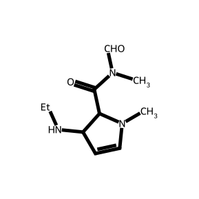 CCNC1C=CN(C)C1C(=O)N(C)C=O